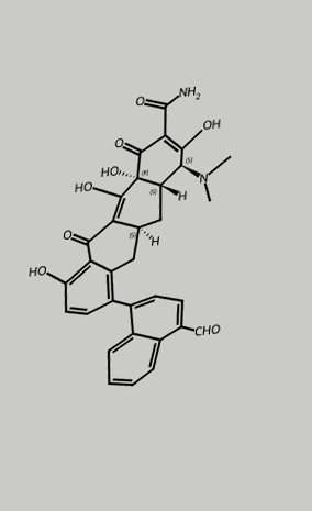 CN(C)[C@@H]1C(O)=C(C(N)=O)C(=O)[C@]2(O)C(O)=C3C(=O)c4c(O)ccc(-c5ccc(C=O)c6ccccc56)c4C[C@@H]3C[C@@H]12